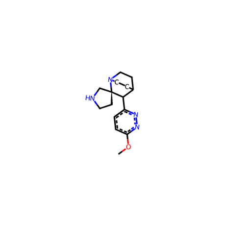 COc1ccc(C2C3CCN(CC3)[C@]23CCNC3)nn1